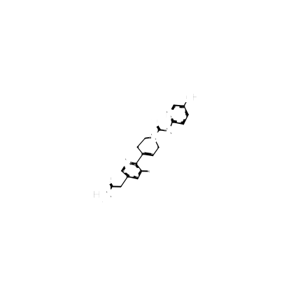 NC(=O)Cc1cnc(C2=CCN(C(=O)Nc3ccc(C(F)(F)F)cn3)CC2)c(Cl)c1